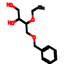 CC(C)(C)COC(COCc1ccccc1)C(O)CO